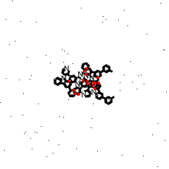 Cc1cccc(-c2ccc3c(c2)c2ccccc2n3-c2ccncc2-c2ccc(-n3c4ccccc4c4cc(-c5cccc(C)c5)ccc43)c(-c3nc(-c4ccccc4)nc(-c4cc(-c5cnccc5-n5c6ccccc6c6cc(-c7cccc(C)c7)ccc65)ccc4-n4c5ccccc5c5cc(-c6cccc(C)c6)ccc54)n3)c2)c1